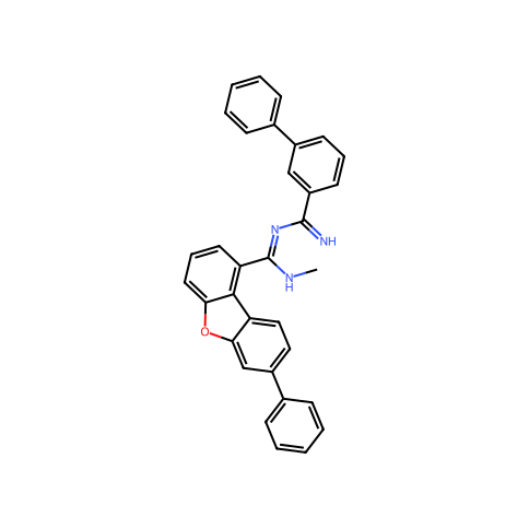 CN/C(=N\C(=N)c1cccc(-c2ccccc2)c1)c1cccc2oc3cc(-c4ccccc4)ccc3c12